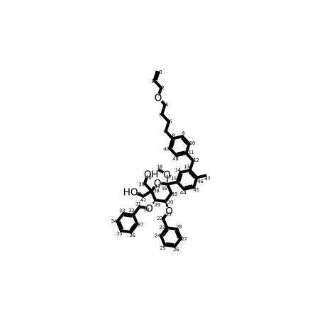 C=CCOCCCCc1ccc(Cc2cc([C@@]3(OC)C[C@@H](OCc4ccccc4)[C@H](OCc4ccccc4)C(CO)(CO)O3)ccc2C)cc1